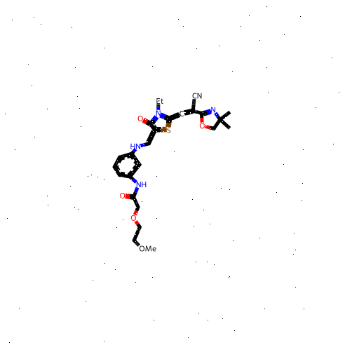 CCn1c(=C=C(C#N)C2=NC(C)(C)CO2)s/c(=C/Nc2cccc(NC(=O)COCCOC)c2)c1=O